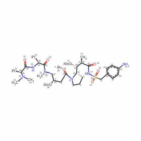 CC[C@H](C)[C@@H]([C@@H](CC(=O)N1CCC[C@H]1[C@H](OC)[C@@H](C)C(=O)NS(=O)(=O)Cc1ccc(N)cc1)OC)N(C)C(=O)[C@@H](NC(=O)[C@H](C(C)C)N(C)C)C(C)C